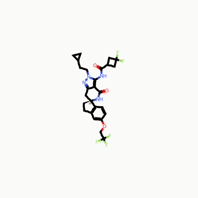 O=C1N[C@@]2(CCc3cc(OCC(F)(F)F)ccc32)Cc2nn(CCC3CC3)c(NC(=O)C3CC(F)(F)C3)c21